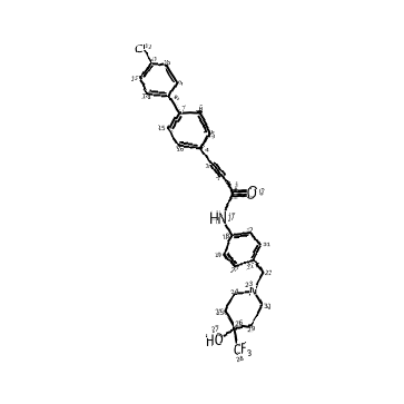 O=C(C#Cc1ccc(-c2ccc(Cl)cc2)cc1)Nc1ccc(CN2CCC(O)(C(F)(F)F)CC2)cc1